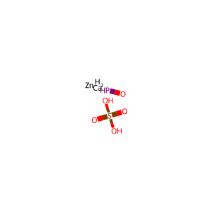 O=P.O=S(=O)(O)O.[CaH2].[Zn]